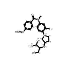 CCCCOc1ccc(C(=O)N(C)c2ccc(N3CCC(NC(CC(C)C)C(N)O)C3)c(F)c2)cc1